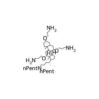 CCCCCN(CCCCC)CCC[C@@H](C)C1CC[C@H]2C3[C@H](OCCCN)CC4C[C@H](OCCCN)CCC4(C)[C@H]3C[C@H](OCCCN)C12C